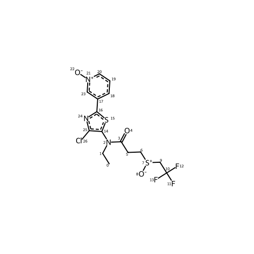 CCN(C(=O)CC[S+]([O-])CC(F)(F)F)c1sc(-c2ccc[n+]([O-])c2)nc1Cl